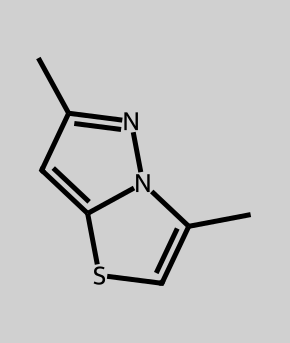 Cc1cc2scc(C)n2n1